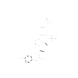 CC(Cc1ccc(Br)cc1F)NC(=O)[C@@H]1CCCN1C(=O)[C@@H](N(N)CC(N)C1CC1)C(C)(C)C